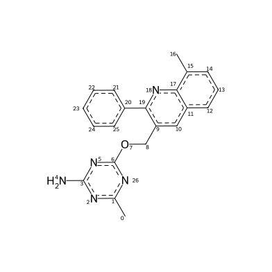 Cc1nc(N)nc(OCc2cc3cccc(C)c3nc2-c2ccccc2)n1